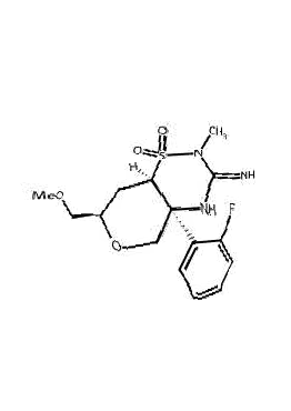 COC[C@H]1C[C@@H]2[C@](c3ccccc3F)(CO1)NC(=N)N(C)S2(=O)=O